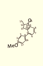 COc1ccc(-c2cccc3c2CC(C)C3=O)cc1